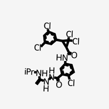 C=C(NNC(=O)c1cc(NC(=O)C2C(c3cc(Cl)cc(Cl)c3)C2(Cl)Cl)ccc1Cl)NC(C)C